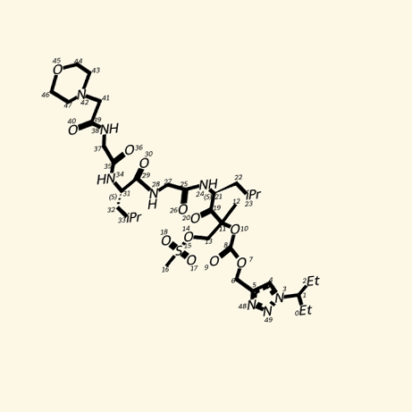 CCC(CC)n1cc(COC(=O)OC(C)(COS(C)(=O)=O)C(=O)[C@H](CC(C)C)NC(=O)CNC(=O)[C@H](CC(C)C)NC(=O)CNC(=O)CN2CCOCC2)nn1